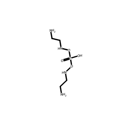 NCCNOP(=O)(O)ONCCN